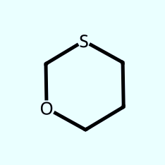 C1COCSC1